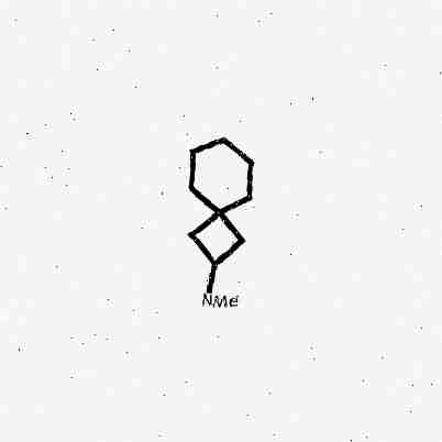 CNC1CC2(CCCCC2)C1